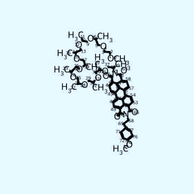 COCCOCC(C)OCC(C)OCC(C)OCC(C)OCC(C)OCC(C)OCC(C)OCC(C)OCC(C)N1C(=O)c2ccc3c4ccc5c6c(ccc(c7ccc(c2c37)C1=O)c64)C(=O)N(CCc1ccc(OC)cc1)C5=O